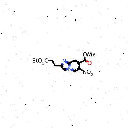 CCOC(=O)CCc1cn2cc([N+](=O)[O-])c(C(=O)OC)cc2n1